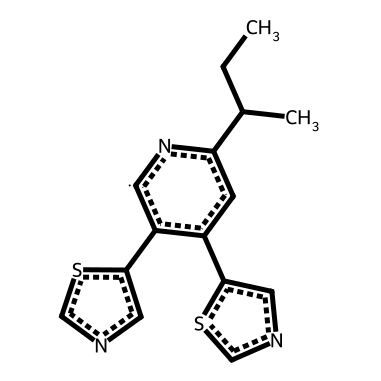 CCC(C)c1cc(-c2cncs2)c(-c2cncs2)[c]n1